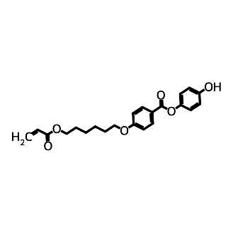 C=CC(=O)OCCCCCCOc1ccc(C(=O)Oc2ccc(O)cc2)cc1